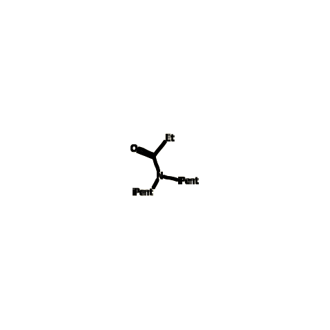 CCCC(C)N(C(=O)CC)C(C)CCC